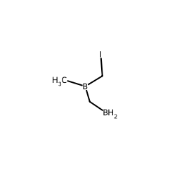 BCB(C)CI